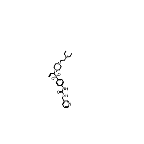 C=CC(N1CCN(CCN(CC)CC)CC1)S(=O)(=O)c1ccc(NC(=O)NCc2cccnc2)cc1